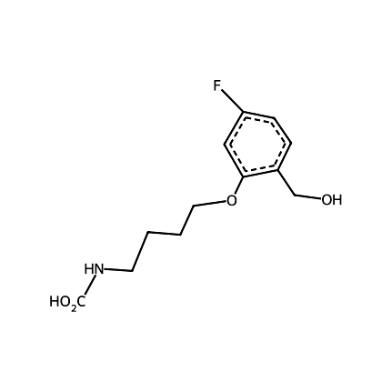 O=C(O)NCCCCOc1cc(F)ccc1CO